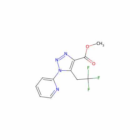 COC(=O)c1nnn(-c2ccccn2)c1CC(F)(F)F